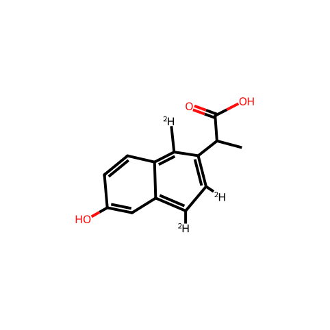 [2H]c1c(C(C)C(=O)O)c([2H])c2ccc(O)cc2c1[2H]